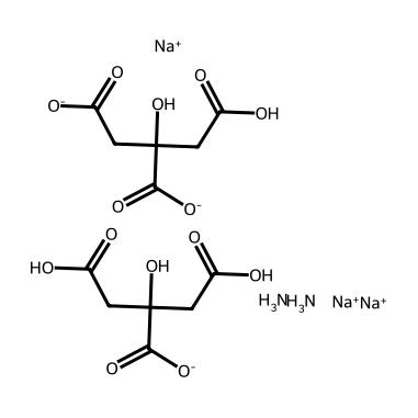 N.N.O=C(O)CC(O)(CC(=O)O)C(=O)[O-].O=C([O-])CC(O)(CC(=O)O)C(=O)[O-].[Na+].[Na+].[Na+]